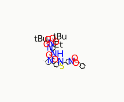 CCc1cc(NC(=O)C(=O)N2C[C@@H](C)CCC2c2ccc3sc(C4=CCN(C(=O)OCc5ccccc5)CC4)nc3c2)cnc1N(C(=O)OC(C)(C)C)C(=O)OC(C)(C)C